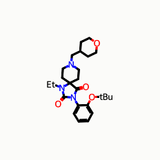 CCN1C(=O)N(c2ccccc2OC(C)(C)C)C(=O)C12CCN(CC1CCOCC1)CC2